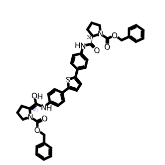 O=C(Nc1ccc(-c2ccc(-c3ccc(N/C(O)=C4/CCCN4C(=O)OCc4ccccc4)cc3)s2)cc1)[C@@H]1CCCN1C(=O)OCc1ccccc1